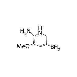 BC1=CC(OC)=C(N)NC1